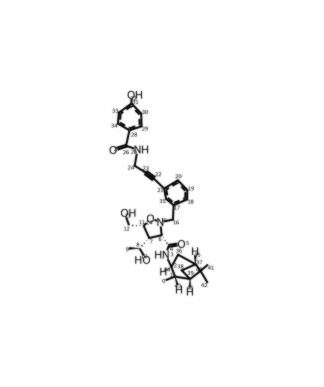 C[C@@H]1[C@@H](NC(=O)[C@@H]2[C@H]([C@H](C)O)[C@H](CO)ON2Cc2cccc(C#CCNC(=O)c3ccc(O)cc3)c2)C[C@H]2C[C@@H]1C2(C)C